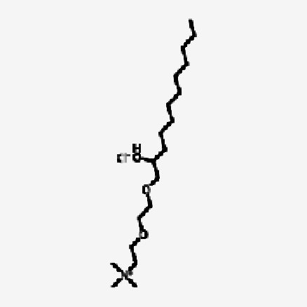 CCCCCCCCCCC(O)COCCOCC[N+](C)(C)C.[Cl-]